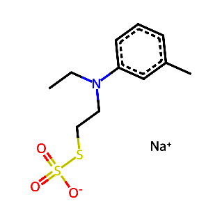 CCN(CCSS(=O)(=O)[O-])c1cccc(C)c1.[Na+]